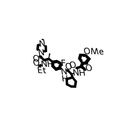 CCC(=O)N[C@@H](C(=O)N1CCN(C)CC1)[C@@H](C)c1ccc(NC(=O)[C@@H](NC(=O)c2coc3cc(OC)ccc23)C2CCCCC2)c(F)c1